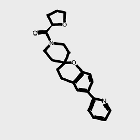 O=C([C@H]1CCCO1)N1CCC2(CCc3cc(-c4ccccn4)ccc3O2)CC1